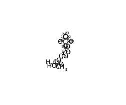 CC(C)(O)C(=O)OCOC(=O)CC(=O)c1cc2c(o1)C(=O)c1ccccc1C2=O